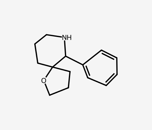 c1ccc(C2NCCCC23CCCO3)cc1